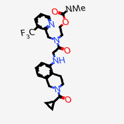 CNC(=O)OCCN(Cc1ncccc1C(F)(F)F)C(=O)CNc1cccc2c1CCN(C(=O)C1CC1)C2